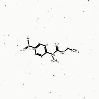 CCOC(=O)N(C)c1ccc([N+](=O)[O-])cc1